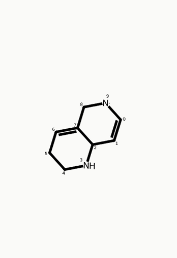 C1=CC2NCCC=C2C[N]1